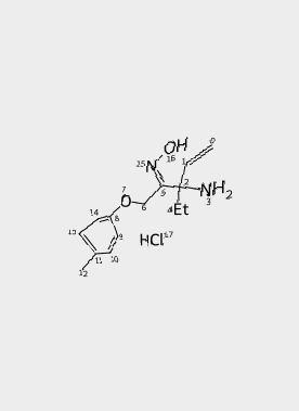 C=CC(N)(CC)C(COc1ccc(C)cc1)=NO.Cl